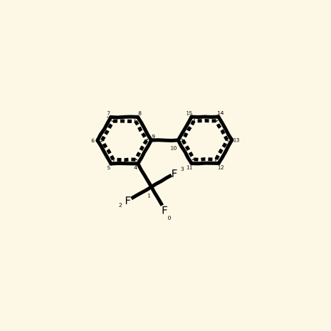 FC(F)(F)c1cc[c]cc1-c1ccccc1